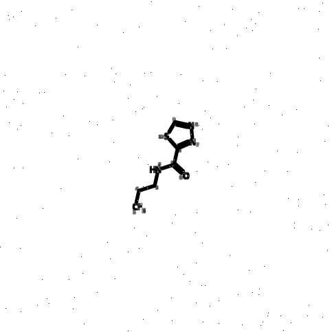 O=C(NCCC(F)(F)F)c1nncs1